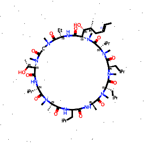 C/C=C/C[C@@H](C)[C@@H](O)[C@H]1C(=O)N[C@@H](CC)C(=O)N(C)CC(=O)N(C)[C@@H]([C@@H](C)O)C(=O)N[C@@H](C(C)C)C(=O)N(C)[C@@H](C)C(=O)NC(CC(C)C)C(=O)N[C@H](C)C(=O)N(C)[C@@H](CC(C)C)C(=O)N(C)[C@H](CC(C)C)C(=O)N(C)[C@@H](C(C)C)C(=O)N1C